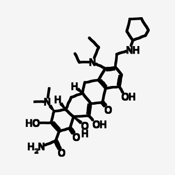 CCN(CC)c1c(CNC2CCCCC2)cc(O)c2c1C[C@H]1C[C@H]3[C@H](N(C)C)C(O)=C(C(N)=O)C(=O)[C@@]3(O)C(O)=C1C2=O